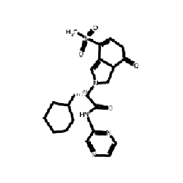 CS(=O)(=O)C1=CCC(=O)C2CN([C@@H](CC3CCCCC3)C(=O)Nc3cnccn3)C=C12